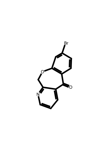 O=C1c2ccc(Br)cc2OCc2ncccc21